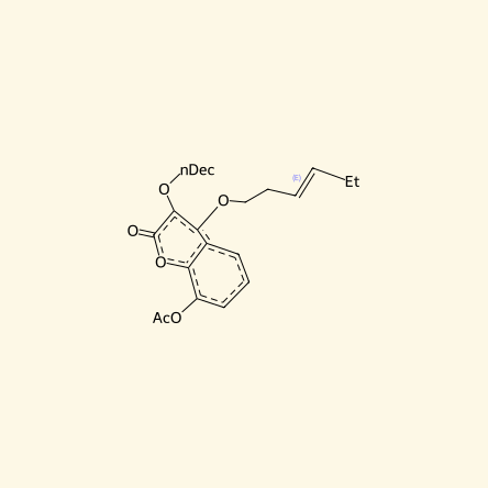 CC/C=C/CCOc1c(OCCCCCCCCCC)c(=O)oc2c(OC(C)=O)cccc12